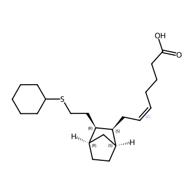 O=C(O)CCC/C=C\C[C@H]1[C@H]2CC[C@H](C2)[C@H]1CCSC1CCCCC1